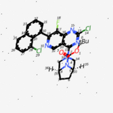 CC(C)(C)OC(=O)N1[C@@H]2CC[C@H]1CN(c1nc(Cl)nc3c(F)c(-c4cccc5cccc(Cl)c45)ncc13)C2